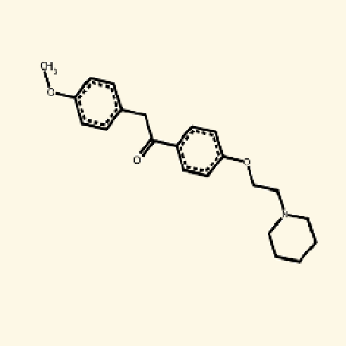 COc1ccc(CC(=O)c2ccc(OCCN3CCCCC3)cc2)cc1